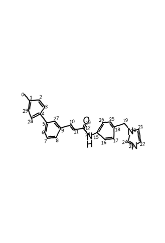 Cc1ccc(-c2cccc(C=CC(=O)Nc3ccc(Cn4ccnc4)cc3)c2)cc1